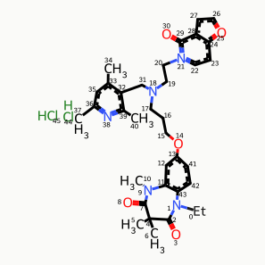 CCN1C(=O)C(C)(C)C(=O)N(C)c2cc(OCCCN(CCn3ccc4occc4c3=O)Cc3c(C)cc(C)nc3C)ccc21.Cl.Cl